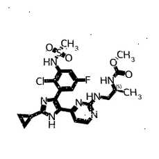 COC(=O)N[C@@H](C)CNc1nccc(-c2[nH]c(C3CC3)nc2-c2cc(F)cc(NS(C)(=O)=O)c2Cl)n1